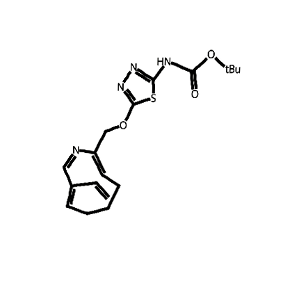 C=CC1=C\CCC/C=C(COc2nnc(NC(=O)OC(C)(C)C)s2)/N=C\1